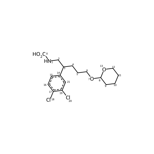 O=C(O)NCC(CCCOC1CCCCO1)c1ccc(Cl)c(Cl)c1